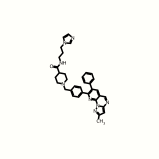 Cc1cc2ncc3cc(-c4ccccc4)c(-c4ccc(CN5CCC(C(=O)NCCCn6ccnc6)CC5)cc4)nc3n2n1